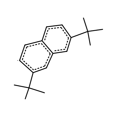 CC(C)(C)c1[c]cc2ccc(C(C)(C)C)cc2c1